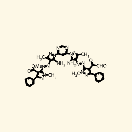 COC(=O)c1c(-c2ccccc2)nn(C)c1/N=N/c1c(C)nn(-c2cc(-n3nc(C)c(/N=N/c4c(C(=O)C=O)c(-c5ccccc5)nn4C)c3N)ncn2)c1N